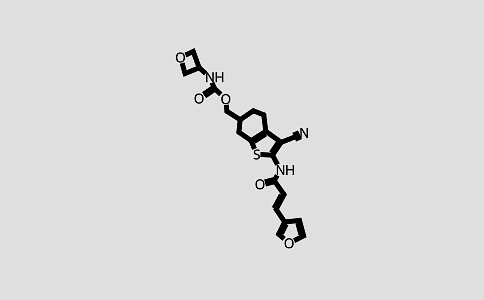 N#Cc1c(NC(=O)C=Cc2ccoc2)sc2c1CCC(COC(=O)NC1COC1)C2